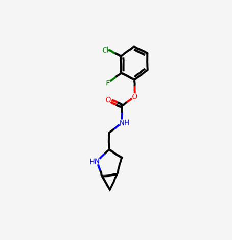 O=C(NCC1CC2CC2N1)Oc1cccc(Cl)c1F